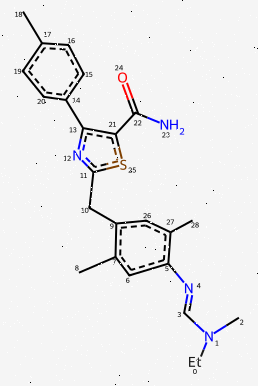 CCN(C)/C=N/c1cc(C)c(Cc2nc(-c3ccc(C)cc3)c(C(N)=O)s2)cc1C